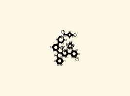 O=C1CC(C(=O)N2CCC(c3cccc([C@H](Cc4ccccc4)c4ccc(-c5cc(Cl)ccc5-n5cnnn5)c[n+]4[O-])c3)CC2)C1